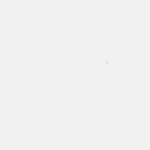 O=[SH](=O)Cc1ccc2nccc(Cl)c2c1